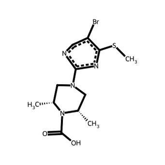 CSc1nc(N2C[C@@H](C)N(C(=O)O)[C@@H](C)C2)ncc1Br